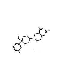 Cc1nc(N)nc2c1CN(C1CCC(CN)(c3cccc(Cl)c3)CC1)CC2.Cl.Cl